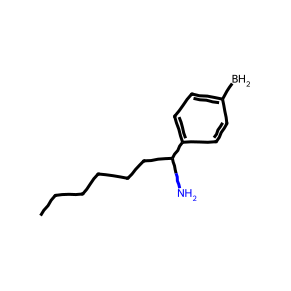 Bc1ccc(C(N)CCCCCC)cc1